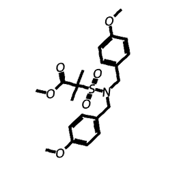 COC(=O)C(C)(C)S(=O)(=O)N(Cc1ccc(OC)cc1)Cc1ccc(OC)cc1